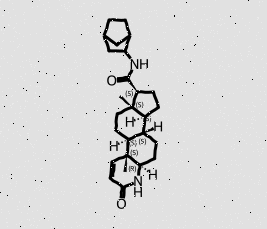 C[C@]12C=CC(=O)N[C@@H]1CC[C@@H]1[C@@H]2CC[C@]2(C)[C@@H](C(=O)NC3CC4CCC3C4)CC[C@@H]12